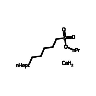 CCCCCCCCCCCCS(=O)(=O)OCCC.[CaH2]